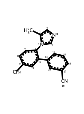 Cc1cncn1-c1ccc(Cl)cc1-c1cccc(C#N)c1